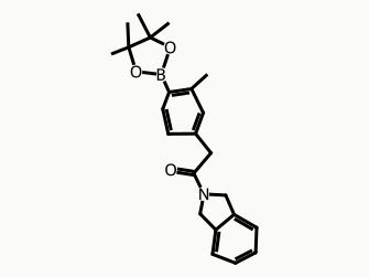 Cc1cc(CC(=O)N2Cc3ccccc3C2)ccc1B1OC(C)(C)C(C)(C)O1